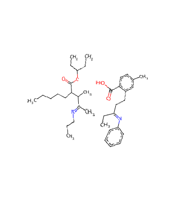 CCC(CCc1cc(C)ccc1C(=O)O)=Nc1ccccc1.CCCCCC(C(=O)OC(CC)CC)C(C)C(C)=NCCC